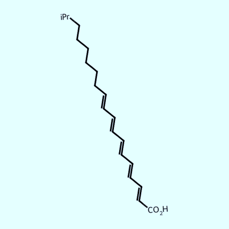 CC(C)CCCCCCC=CC=CC=CC=CC=CC(=O)O